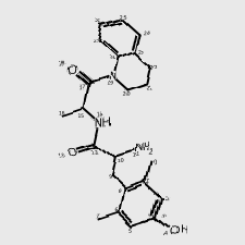 Cc1cc(O)cc(C)c1CC(N)C(=O)NC(C)C(=O)N1CCCc2ccccc21